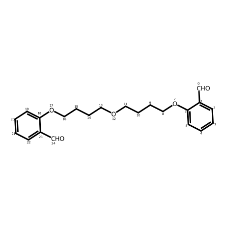 O=Cc1ccccc1OCCCCOCCCCOc1ccccc1C=O